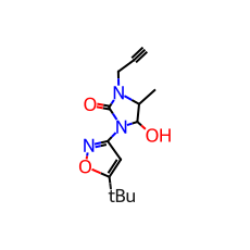 C#CCN1C(=O)N(c2cc(C(C)(C)C)on2)C(O)C1C